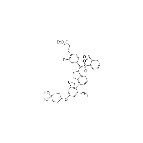 CCOC(=O)CCc1ccc(N(C2CCc3c(-c4c(C)cc(OC5CCS(O)(O)CC5)cc4C)cccc32)S(=O)(=O)c2ccccc2[N+](=O)[O-])cc1F